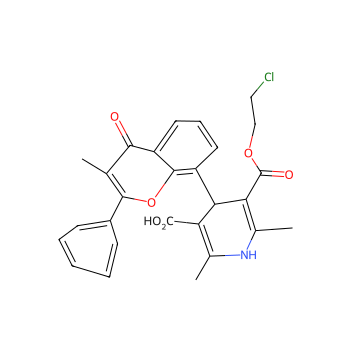 CC1=C(C(=O)O)C(c2cccc3c(=O)c(C)c(-c4ccccc4)oc23)C(C(=O)OCCCl)=C(C)N1